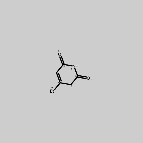 CCC1=CC(=O)NC(=O)C1